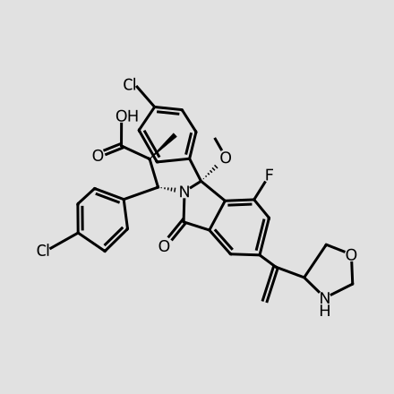 C=C(c1cc(F)c2c(c1)C(=O)N([C@H](c1ccc(Cl)cc1)[C@H](C)C(=O)O)[C@@]2(OC)c1ccc(Cl)cc1)C1COCN1